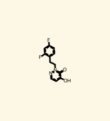 O=c1c(O)ccnn1CCc1ccc(F)cc1F